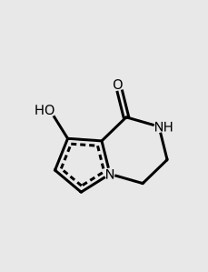 O=C1NCCn2ccc(O)c21